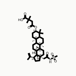 C=C(C)[C@@H]1CC[C@]2(CC(=O)NS(C)(=O)=O)CC[C@]3(C)[C@H](CCC4[C@@]5(C)CC[C@H](OC(=O)CC(C)(C)C(=O)O)C(C)(C)C5CC[C@]43C)[C@@H]12